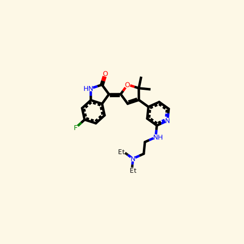 CCN(CC)CCNc1cc(C2=CC(=C3C(=O)Nc4cc(F)ccc43)OC2(C)C)ccn1